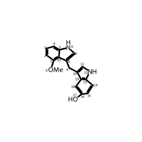 COc1cccc2[nH]cc(Cc3c[nH]c4ccc(O)cc34)c12